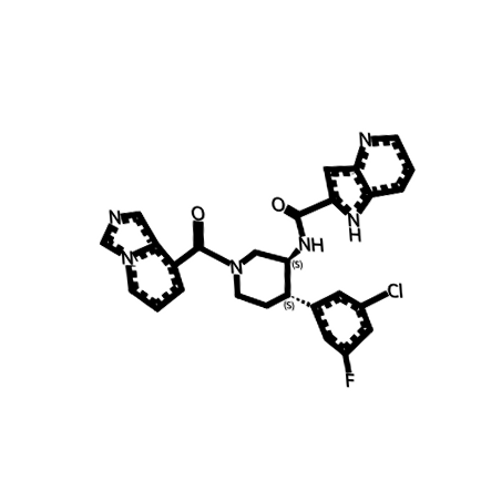 O=C(N[C@@H]1CN(C(=O)c2cccn3cncc23)CC[C@H]1c1cc(F)cc(Cl)c1)c1cc2ncccc2[nH]1